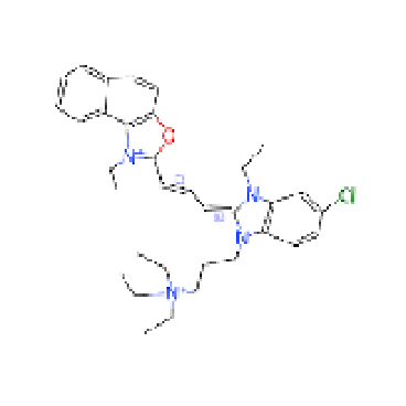 CCN1/C(=C\C=C\c2oc3ccc4ccccc4c3[n+]2CC)N(CCC[N+](CC)(CC)CC)c2ccc(Cl)cc21